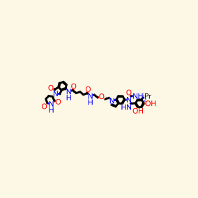 CC(C)c1cc(C(=N)N(C(N)=O)c2ccc3c(ccn3CCOCCNC(=O)CCCC(=O)Nc3cccc4c3CN(C3CCC(=O)NC3=O)C4=O)c2)c(O)cc1O